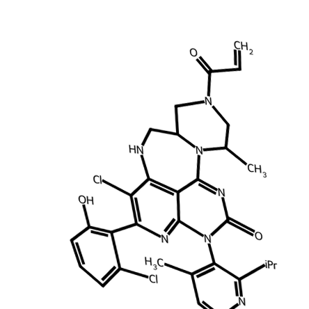 C=CC(=O)N1CC(C)N2c3nc(=O)n(-c4c(C)ccnc4C(C)C)c4nc(-c5c(O)cccc5Cl)c(Cl)c(c34)NCC2C1